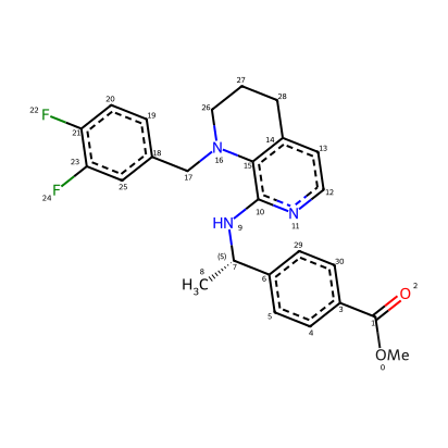 COC(=O)c1ccc([C@H](C)Nc2nccc3c2N(Cc2ccc(F)c(F)c2)CCC3)cc1